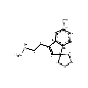 CNCCC1=CC2(CCCC2)c2ccc(F)cc21